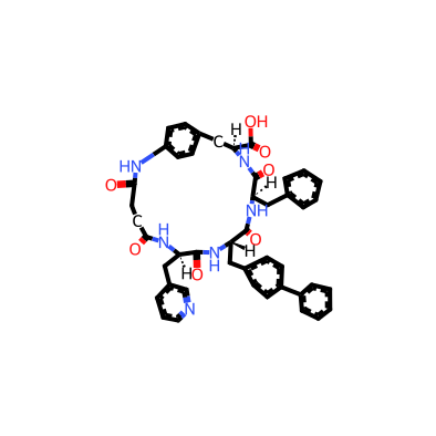 O=C1CCC(=O)N[C@H](Cc2cccnc2)C(=O)N[C@@H](Cc2ccc(-c3ccccc3)cc2)C(=O)N[C@H](Cc2ccccc2)C(=O)N[C@H](C(=O)O)Cc2ccc(cc2)N1